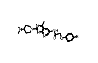 Cc1nc(N2CCC(N(C)C)CC2)nc2ncc(NC(=O)COc3ccc(Br)cc3)cc12